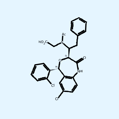 CC(=O)N(CC(=O)O)C(Cc1ccccc1)[C@@H]1O[C@@H](c2ccccc2Cl)c2cc(Cl)ccc2NC1=O